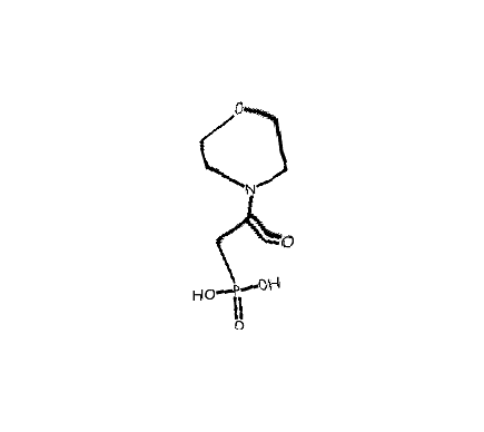 O=C(CP(=O)(O)O)N1CCOCC1